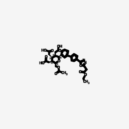 CCOC(=O)Cc1nnc(-c2ccc(-c3cccc([C@@H]4O[C@@H](COC(C)=O)[C@H](CC(=O)O)[C@H](CC(=O)O)[C@H]4CC(=O)O)c3)cc2)o1